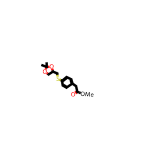 COC(=O)Cc1ccc(SCC2COC(C)(C)O2)cc1